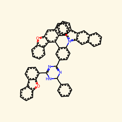 c1ccc(C2N=C(c3ccc(-n4c5ccccc5c5cc6ccccc6cc54)c(-c4c5ccccc5cc5oc6ccccc6c45)c3)N=C(c3cccc4c3oc3ccccc34)N2)cc1